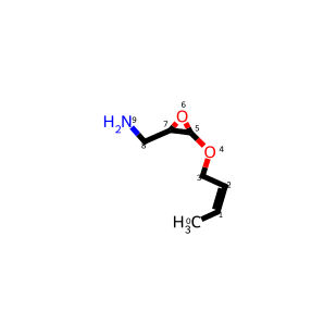 C/C=C\COC1OC1CN